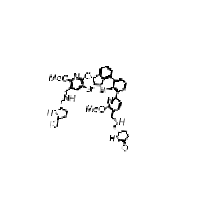 COc1nc(-c2cccc(-c3cccc4c3CC[C@@H]4Oc3nc(OC)c(CNC[C@@H]4CCC(O)N4)cc3Br)c2Br)ccc1CNC[C@@H]1CCC(=O)N1